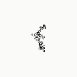 CCC(=O)NCCCOc1cc(C)c(-c2cccc(COc3ccc(Cn4oc(=O)[nH]c4=O)cc3)c2C)c(C)c1